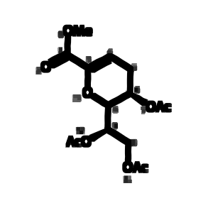 COC(=O)C1=CC[C@@H](OC(C)=O)C([C@@H](COC(C)=O)OC(C)=O)O1